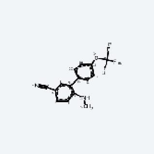 CNc1ccc(C#N)cc1-c1ccc(OC(F)(F)F)cc1